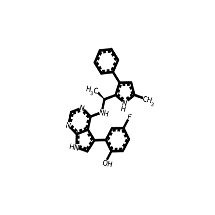 Cc1cc(-c2ccccc2)c([C@H](C)Nc2ncnc3[nH]cc(-c4cc(F)ccc4O)c23)[nH]1